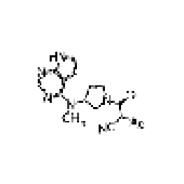 CC(=O)C(C#N)C(=O)N1CCC(N(C)c2ncnc3[nH]ccc23)C1